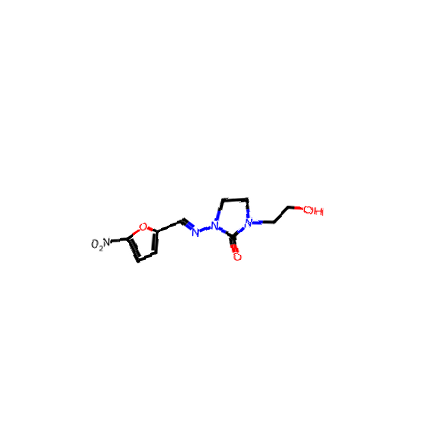 O=C1N(CCO)CCN1/N=C/c1ccc([N+](=O)[O-])o1